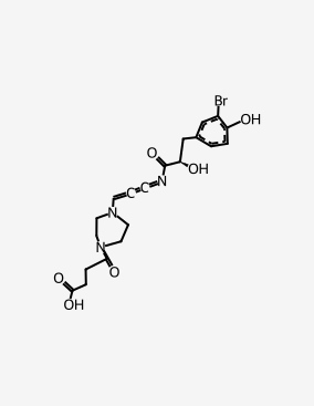 O=C(O)CCC(=O)N1CCN(C=C=C=NC(=O)[C@H](O)Cc2ccc(O)c(Br)c2)CC1